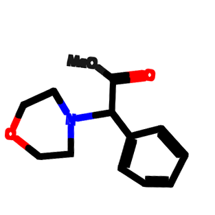 COC(=O)C(c1ccccc1)N1CCOCC1